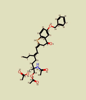 CCC/C(=C\C=C1/CC(=O)c2cc(OCc3ccccc3)ccc2S1)CCC(COC(C)=O)(COC(C)=O)NC(C)=O